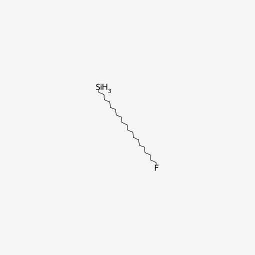 FCCCCCCCCCCCCCCCCCCCC[SiH3]